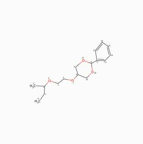 CCC(C)OCCOC1COC(c2ccccc2)OC1